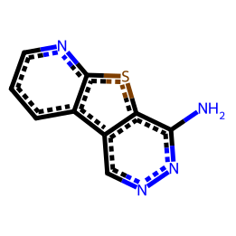 Nc1nncc2c1sc1ncccc12